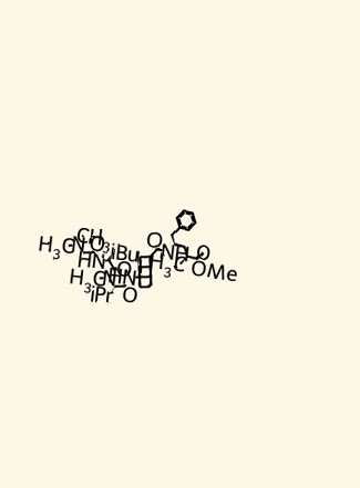 CC[C@H](C)[C@H](NC(=O)CN(C)C)C(=O)N(C)[C@H](C(=O)NC12C3C4C1C1C2C3C41C(=O)N[C@@H](Cc1ccccc1)C[C@H](C)C(=O)OC)C(C)C